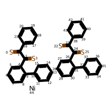 S=C(C(=S)c1ccccc1-c1ccccc1)c1ccccc1.S=C(C(=S)c1ccccc1-c1ccccc1)c1ccccc1.[Ni]